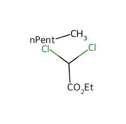 CCCCCC.CCOC(=O)C(Cl)Cl